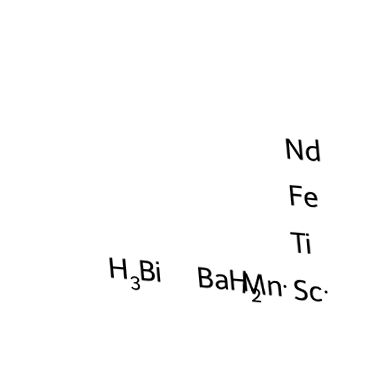 [BaH2].[BiH3].[Fe].[Mn].[Nd].[Sc].[Ti]